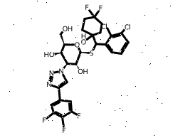 OC[C@H]1O[C@@H](SC(c2cccc(Cl)c2Cl)C2(O)CCC(F)(F)CC2)[C@H](O)[C@@H](n2cc(-c3cc(F)c(F)c(F)c3)nn2)[C@H]1O